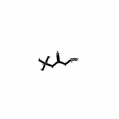 C[N+](C)(C)CC(=O)CC(=O)[O-]